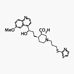 COc1ccc2nccc([C@H](O)CC[C@@H]3CCN(CCCSc4nccs4)C[C@@H]3C(=O)O)c2c1